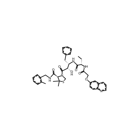 CC[C@H](NC(=O)COc1ccc2ncccc2c1)C(=O)N[C@@H](Cc1ccccc1)[C@H](O)C(=O)N1CSC(C)(C)[C@H]1C(=O)NCc1ccccc1C